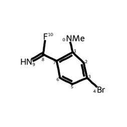 CNc1cc(Br)ccc1C(=N)F